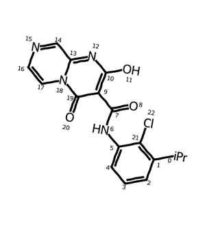 CC(C)c1cccc(NC(=O)c2c(O)nc3cnccn3c2=O)c1Cl